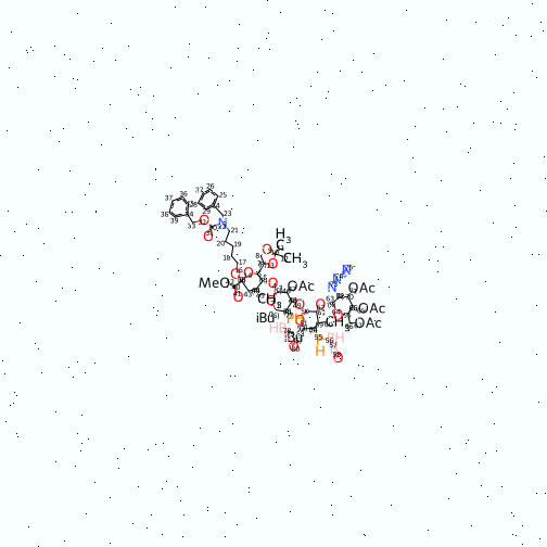 CC[C@H](C)C1O[C@H](O[C@H]2C([C@H]3COC(C)(C)O3)O[C@@](OCCCCCN(Cc3ccccc3)C(=O)OCc3ccccc3)(C(=O)OC)C[C@H]2C)C(OC(C)=O)[C@@H](OC2O[C@@H]([C@@H](C)CC)[C@@H](PBB=O)C(C)C2O[C@H]2OC(COC(C)=O)[C@@H](OC(C)=O)C(OC(C)=O)[C@H]2N=[N+]=[N-])[C@@H]1PBB=O